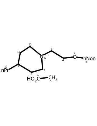 CC(=O)O.CCCCCCCCCCCCN1CCC(CCC)CC1